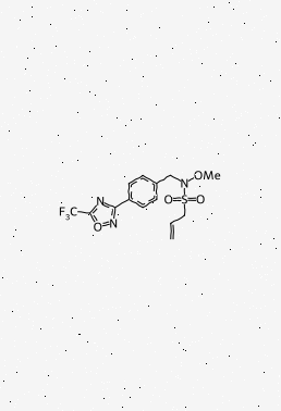 C=CCS(=O)(=O)N(Cc1ccc(-c2noc(C(F)(F)F)n2)cc1)OC